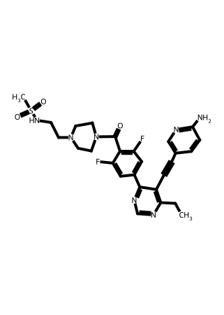 CCc1ncnc(-c2cc(F)c(C(=O)N3CCN(CCNS(C)(=O)=O)CC3)c(F)c2)c1C#Cc1ccc(N)nc1